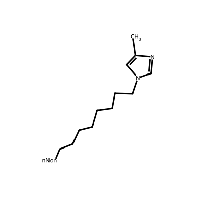 CCCCCCCCCCCCCCCCCn1cnc(C)c1